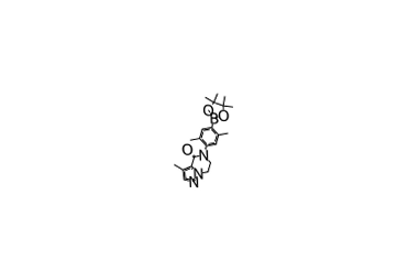 Cc1cc(N2CCn3ncc(C)c3C2=O)c(C)cc1B1OC(C)(C)C(C)(C)O1